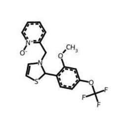 COc1cc(OC(F)(F)F)ccc1C1SC=CN1Cc1cccc[n+]1[O-]